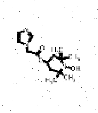 CC1(C)CC(OC(=O)Cn2ccnc2)CC(C)(C)N1O